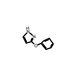 [c]1ccccc1Oc1cc[nH]n1